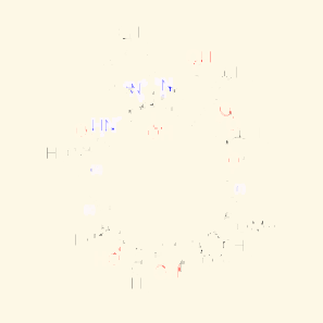 CO[C@H]1/C=C/O[C@@]2(C)Oc3c(C)c(O)c4c(O)c(c5c(nc6cc(C)ccn65)c4c3C2=O)NC(=O)/C(C)=C\C=C\[C@H](C)[C@H](O)[C@@H](C)[C@@H](O)C(C)[C@H](OC(C)=O)[C@@H]1C